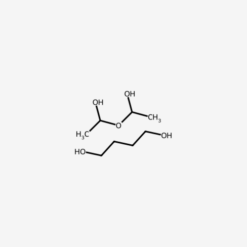 CC(O)OC(C)O.OCCCCO